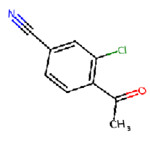 CC(=O)c1ccc(C#N)cc1Cl